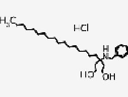 CCCCCCCCCCCCCCCCCC(CCO)(CCO)NCc1ccccc1.Cl